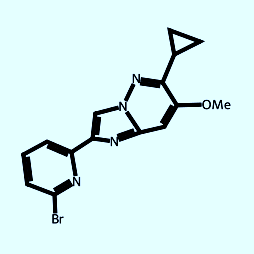 COc1cc2nc(-c3cccc(Br)n3)cn2nc1C1CC1